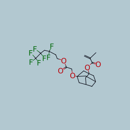 C=C(C)C(=O)OC12CC3CC(CC(OCC(=O)OCCC(F)(F)CC(F)(F)C(F)(F)F)(C3)C1)C2